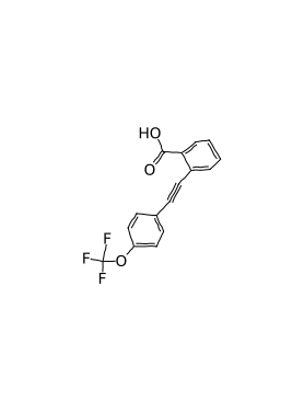 O=C(O)c1ccccc1C#Cc1ccc(OC(F)(F)F)cc1